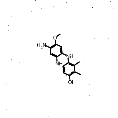 COc1cc(Nc2ccc(O)c(C)c2C)c(N)cc1N